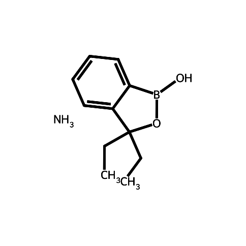 CCC1(CC)OB(O)c2ccccc21.N